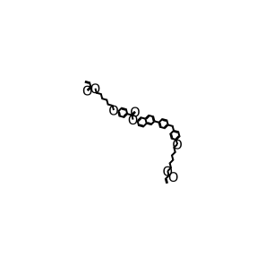 C=CC(=O)OCCCCCCOc1ccc(Cc2ccc(-c3ccc4cc(OC(=O)c5ccc(OCCCCCCOC(=O)C=C)cc5)ccc4c3)cc2)cc1